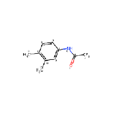 Cc1ccc(NC(=O)C(F)(F)F)cc1C(F)(F)F